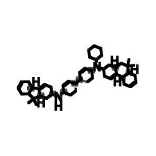 CC1(C)C[C@H]2CC(N(C3CCCCC3)[C@H]3C=C[C@@H]([C@H]4C=C[C@@H](N[C@@H]5CC=C6[C@@H](C5)C(C)(C)C5CC=CC[C@@H]65)CC4)CC3)CC=C2[C@H]2CC=CC[C@H]21